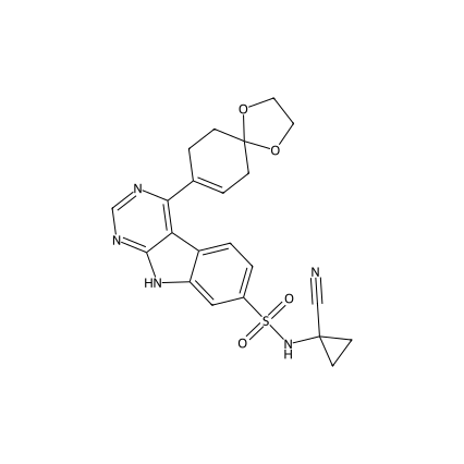 N#CC1(NS(=O)(=O)c2ccc3c(c2)[nH]c2ncnc(C4=CCC5(CC4)OCCO5)c23)CC1